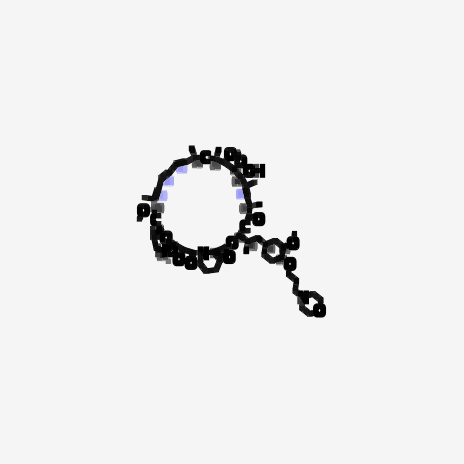 CO[C@H]1C[C@@H]2CC[C@@H](C)[C@@](O)(O2)C(=O)C(=O)N2CCCC[C@H]2C(=O)O[C@H]([C@H](C)C[C@@H]2CC[C@@H](OCCCN3CCOCC3)[C@H](OC)C2)CC(=O)[C@H](C)/C=C(\C)[C@@H](O)[C@@H](OC)C(=O)[C@H](C)C[C@H](C)/C=C/C=C/C=C/1C